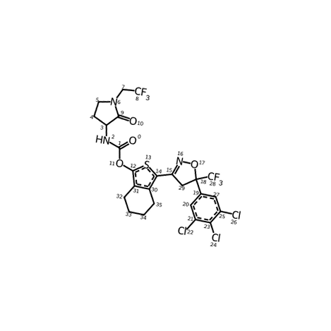 O=C(NC1CCN(CC(F)(F)F)C1=O)Oc1sc(C2=NOC(c3cc(Cl)c(Cl)c(Cl)c3)(C(F)(F)F)C2)c2c1CCCC2